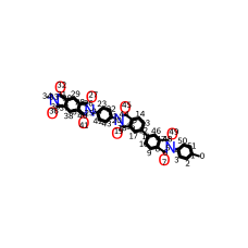 Cc1ccc(N2C(=O)c3ccc(-c4ccc5c(c4)C(=O)N(c4ccc(-n6c(=O)c7cc8c(=O)n(C)c(=O)c8cc7c6=O)cc4)C5=O)cc3C2=O)cc1